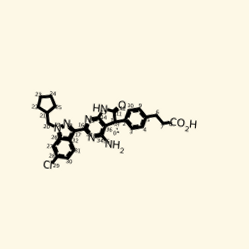 C[C@@]1(c2ccc(CCC(=O)O)cc2)C(=O)Nc2nc(-c3nn(CC4CCCC4)c4cc(Cl)ccc34)nc(N)c21